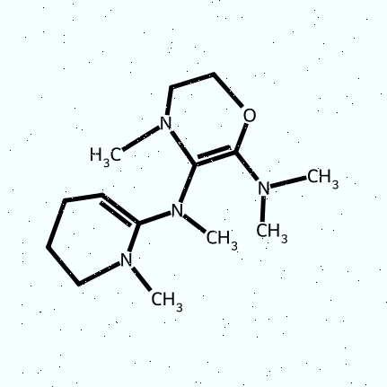 CN(C)C1=C(N(C)C2=CCCCN2C)N(C)CCO1